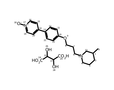 CC1CCCN(CCCOc2ccc(-c3cc[n+]([O-])cc3)cc2)C1.O=C(O)C(O)C(O)C(=O)O